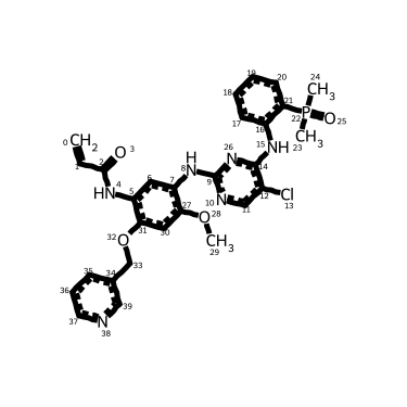 C=CC(=O)Nc1cc(Nc2ncc(Cl)c(Nc3ccccc3P(C)(C)=O)n2)c(OC)cc1OCc1cccnc1